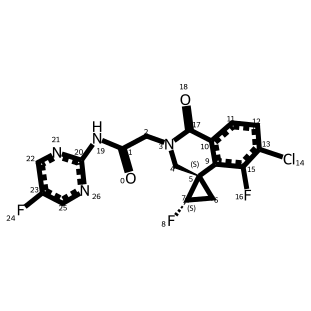 O=C(CN1C[C@]2(C[C@@H]2F)c2c(ccc(Cl)c2F)C1=O)Nc1ncc(F)cn1